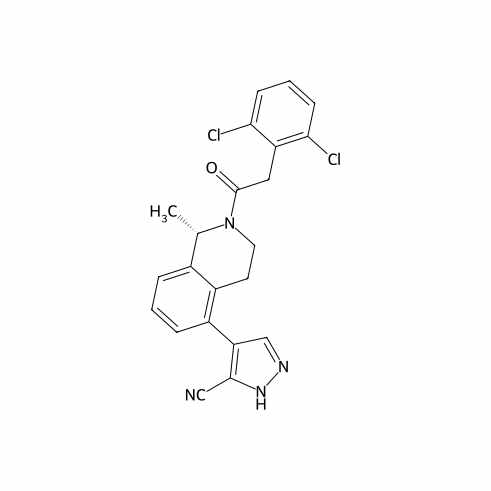 C[C@H]1c2cccc(-c3cn[nH]c3C#N)c2CCN1C(=O)Cc1c(Cl)cccc1Cl